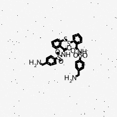 NCc1ccc(S(=O)(=O)NC(=O)c2ccccc2SSc2ccccc2C(=O)NS(=O)(=O)c2ccc(CN)cc2)cc1